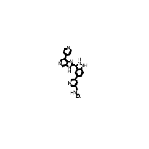 CCNCc1cncc(-c2ccc3c(c2)C(c2nc4c(-c5ccncc5)cncc4[nH]2)NN3)c1